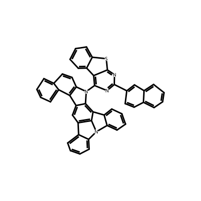 c1ccc2cc(-c3nc(-n4c5ccc6ccccc6c5c5cc6c7ccccc7n7c8ccccc8c(c54)c67)c4c(n3)sc3ccccc34)ccc2c1